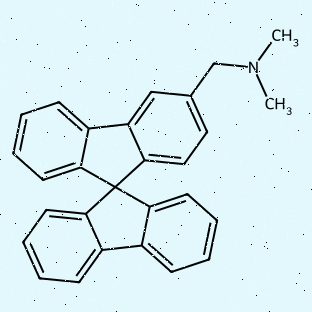 CN(C)Cc1ccc2c(c1)-c1ccccc1C21c2ccccc2-c2ccccc21